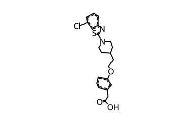 O=C(O)Cc1cccc(OCCC2CCN(c3nc4cccc(Cl)c4s3)CC2)c1